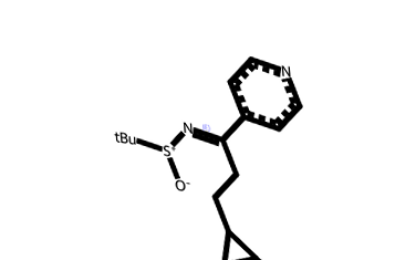 CC(C)(C)[S+]([O-])/N=C(\CCC1CC1)c1ccncc1